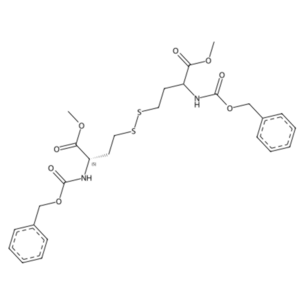 COC(=O)C(CCSSCC[C@H](NC(=O)OCc1ccccc1)C(=O)OC)NC(=O)OCc1ccccc1